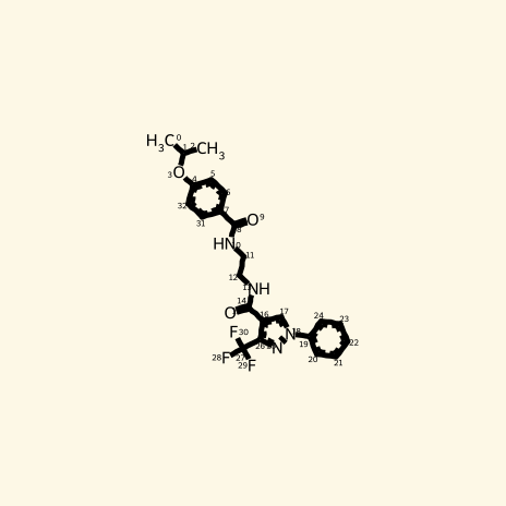 CC(C)Oc1ccc(C(=O)NCCNC(=O)c2cn(-c3ccccc3)nc2C(F)(F)F)cc1